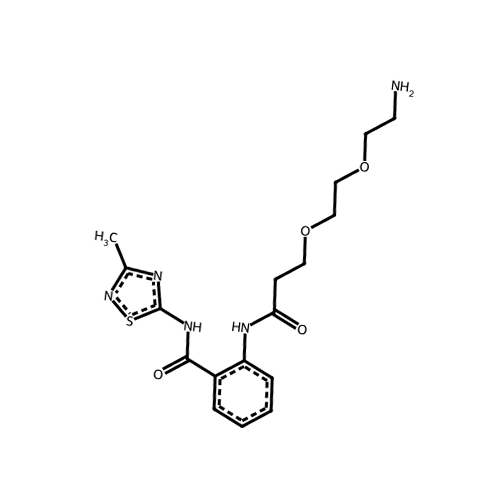 Cc1nsc(NC(=O)c2ccccc2NC(=O)CCOCCOCCN)n1